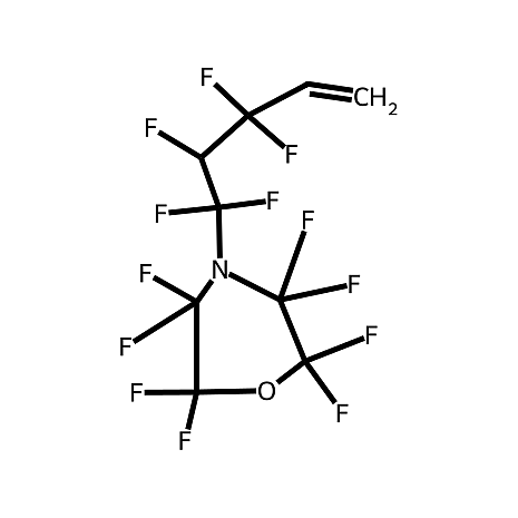 C=CC(F)(F)C(F)C(F)(F)N1C(F)(F)C(F)(F)OC(F)(F)C1(F)F